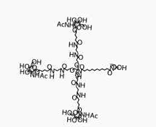 CC(=O)N[C@H]1[C@H](OCCCCC(=O)NCCCNC(=O)CCOCC(COCCC(=O)NCCCNC(=O)CCCCO[C@@H]2O[C@H](CO)[C@H](O)[C@H](O)[C@H]2NC(C)=O)(COCCC(=O)NCCCNC(=O)CCCCO[C@@H]2O[C@H](CO)[C@H](O)[C@H](O)[C@H]2NC(C)=O)NC(=O)CCCCCCCCCCC(=O)N2C[C@H](O)C[C@H]2C)O[C@H](CO)[C@H](O)[C@@H]1O